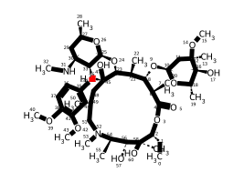 CC[C@H]1OC(=O)[C@H](C)[C@@H](O[C@H]2C[C@@](C)(OC)[C@@H](O)[C@H](C)O2)[C@H](C)[C@@H](O[C@@H]2O[C@H](C)C[C@H](NC)[C@H]2Oc2ccc(OC)c(OC)c2)[C@](C)(O)C[C@@H](C)CN(C)[C@H](C)[C@@H](O)[C@]1(C)O